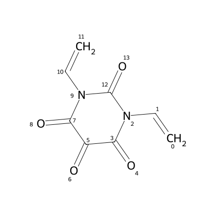 C=CN1C(=O)C(=O)C(=O)N(C=C)C1=O